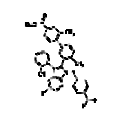 COC(=O)c1ccc(-c2ccc(C)c(-c3c(-c4ccccc4C#N)c4cc(F)ccc4n3Sc3ccc(C(F)F)cc3)c2)c(C)c1